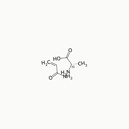 C=CC(N)=O.C[C@H](N)C(=O)O